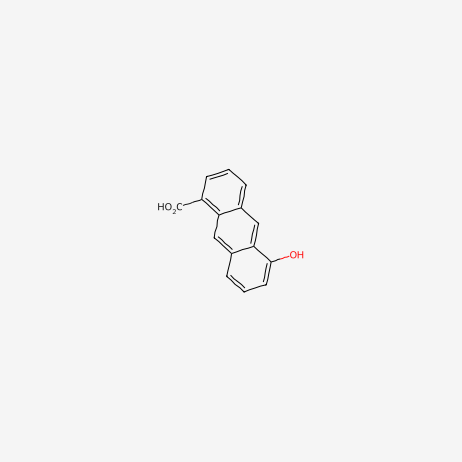 O=C(O)c1cccc2cc3c(O)cccc3cc12